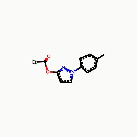 CCC(=O)Oc1ccn(-c2ccc(C)cc2)n1